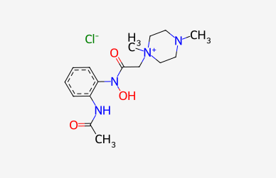 CC(=O)Nc1ccccc1N(O)C(=O)C[N+]1(C)CCN(C)CC1.[Cl-]